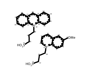 COc1ccc2c(ccc[n+]2CCCS(=O)(=O)O)c1.O=S(=O)(O)CCC[n+]1c2ccccc2cc2ccccc21